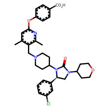 Cc1cc(Oc2ccc(C(=O)O)cc2)nc(C)c1CN1CCC(N2C(=O)N(C3CCOCC3)C[C@H]2c2cccc(Cl)c2)CC1